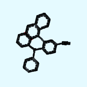 COc1ccc(P(c2ccccc2)c2ccccc2)c(-c2cccc3ccccc23)c1